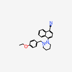 CCOc1ccc(CN2CCCCN2c2ccc(C#N)c3ccccc23)cc1